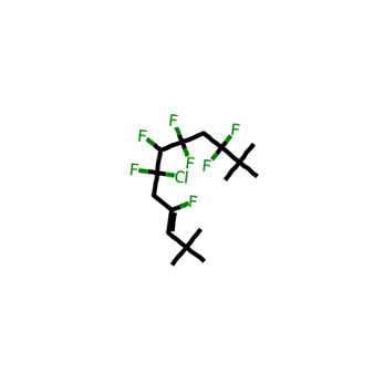 CC(C)(C)/C=C(\F)CC(F)(Cl)C(F)C(F)(F)CC(F)(F)C(C)(C)C